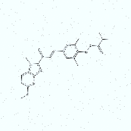 CSc1ccc2c(C)c(C(=O)C=Cc3cc(C)c(OOC(=O)C(C)C)c(C)c3)sc2c1